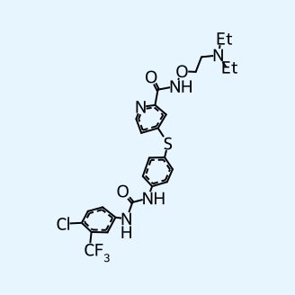 CCN(CC)CCONC(=O)c1cc(Sc2ccc(NC(=O)Nc3ccc(Cl)c(C(F)(F)F)c3)cc2)ccn1